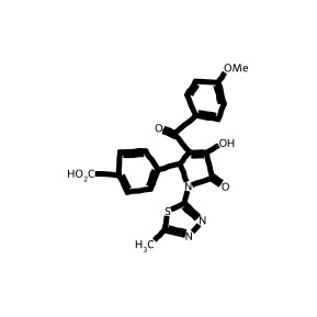 COc1ccc(C(=O)C2=C(O)C(=O)N(c3nnc(C)s3)C2c2ccc(C(=O)O)cc2)cc1